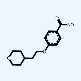 O=NC(=O)c1ccc(OCCC2CCOCC2)cc1